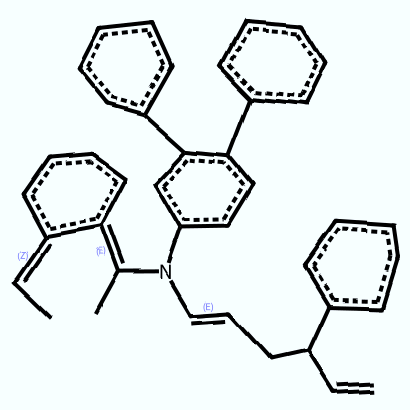 C=CC(C/C=C/N(/C(C)=c1\cccc\c1=C\C)c1ccc(-c2ccccc2)c(-c2ccccc2)c1)c1ccccc1